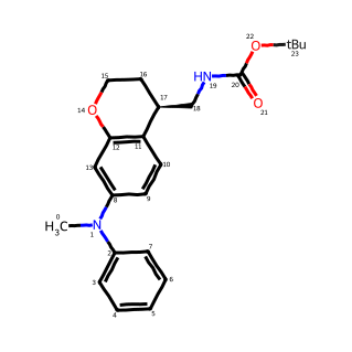 CN(c1ccccc1)c1ccc2c(c1)OCC[C@H]2CNC(=O)OC(C)(C)C